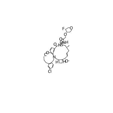 CO[C@H]1/C=C/C[C@H](C)CS(=O)(NC(=O)CO[C@H]2CCOC[C@H]2F)=NC(=O)c2ccc3c(c2)N(Cc2ccc(Cl)cc2CCCCO3)C[C@@H]2CC[C@H]21